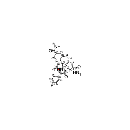 CNC(=O)c1ccc2c(c1)CCc1cc(C(=O)NC)ccc1C2(C[C@H](C)N)c1nn(-c2ccc(F)cc2)c(=O)[nH]1